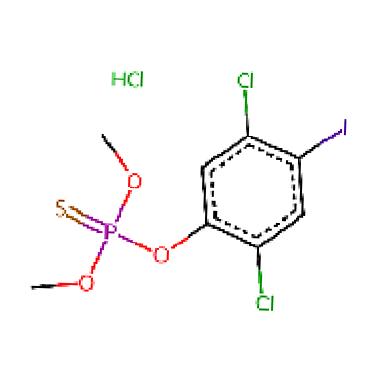 COP(=S)(OC)Oc1cc(Cl)c(I)cc1Cl.Cl